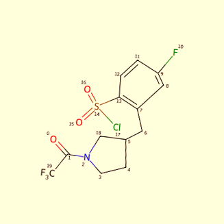 O=C(N1CCC(Cc2cc(F)ccc2S(=O)(=O)Cl)C1)C(F)(F)F